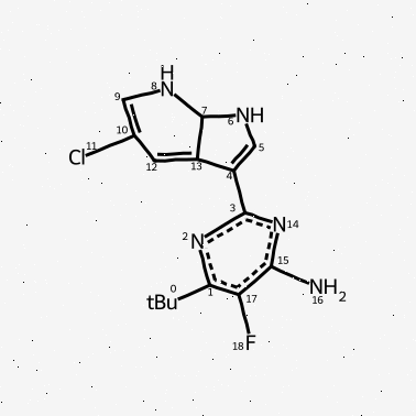 CC(C)(C)c1nc(C2=CNC3NC=C(Cl)C=C23)nc(N)c1F